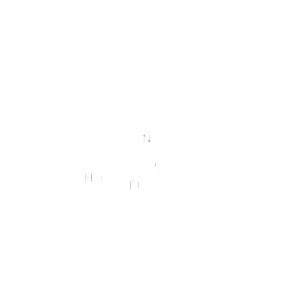 CCC(C#N)(Oc1ccccc1)C(C)O